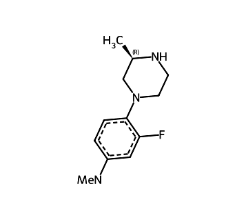 CNc1ccc(N2CCN[C@H](C)C2)c(F)c1